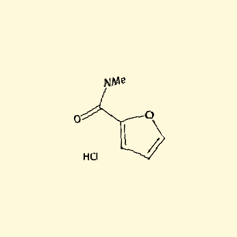 CNC(=O)c1ccco1.Cl